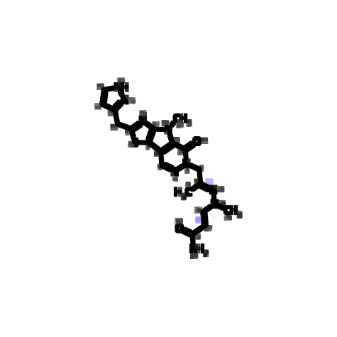 C/C(Cn1ncc2c3sc(Cc4cc[nH]n4)nc3n(C)c2c1=O)=N\N(C)/C=C/C(N)=O